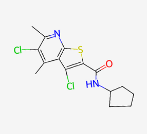 Cc1nc2sc(C(=O)NC3CCCC3)c(Cl)c2c(C)c1Cl